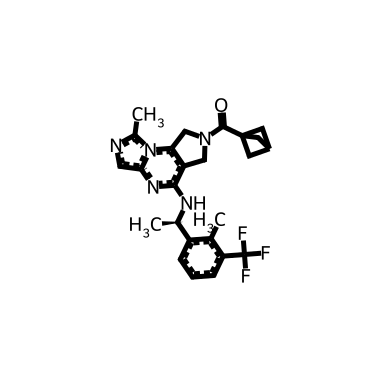 Cc1c([C@@H](C)Nc2nc3cnc(C)n3c3c2CN(C(=O)C24CC(C2)C4)C3)cccc1C(F)(F)F